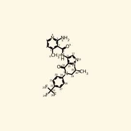 Cc1ccnc(N)c1C(=O)Nc1cnn2c1C(=O)N(c1ccc(C(F)(F)F)cc1)C[C@@H]2C